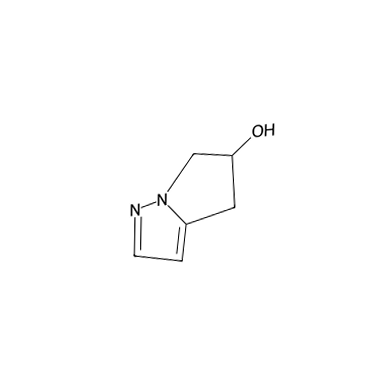 OC1Cc2ccnn2C1